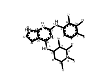 Cc1ccc(Nc2nc(NC3CC(C)N(C)C(C)C3C)c3cc[nH]c3n2)c(C)c1C